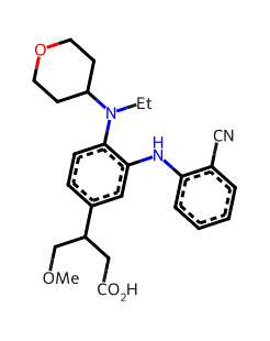 CCN(c1ccc(C(COC)CC(=O)O)cc1Nc1ccccc1C#N)C1CCOCC1